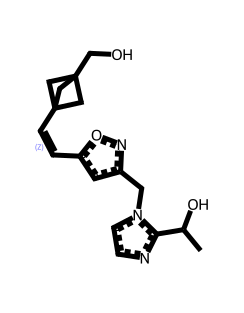 CC(O)c1nccn1Cc1cc(/C=C\C23CC(CO)(C2)C3)on1